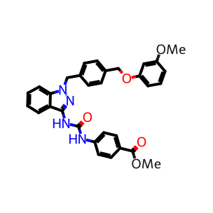 COC(=O)c1ccc(NC(=O)Nc2nn(Cc3ccc(COc4cccc(OC)c4)cc3)c3ccccc23)cc1